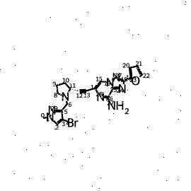 Cn1cc(Br)c(CN2CCC[C@@H]2C#Cc2cn3nc(-c4ccco4)nc3c(N)n2)n1